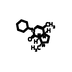 CC1=CN(C2CCCCC2)C(=O)[C@H]2[C@@H]1CC[C@@H]2C